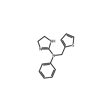 c1ccc(N(Cc2cccs2)C2=NCCN2)cc1